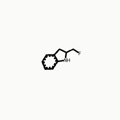 FCC1Cc2ccccc2N1